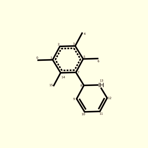 Cc1cc(C)c(C)c(C2C=CC=C[IH]2)c1C